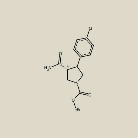 CC(C)(C)OC(=O)N1CC(c2ccc(Cl)cc2)[C@@H](C(N)=O)C1